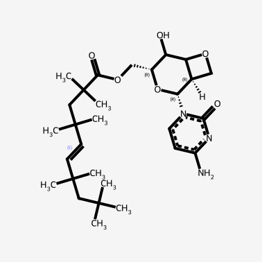 CC(C)(C)CC(C)(C)/C=C/C(C)(C)CC(C)(C)C(=O)OC[C@H]1O[C@@H](n2ccc(N)nc2=O)[C@@H]2COC2C1O